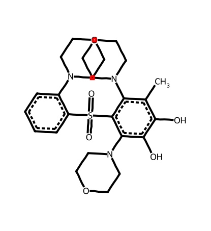 Cc1c(O)c(O)c(N2CCOCC2)c(S(=O)(=O)c2ccccc2N2CCOCC2)c1N1CCOCC1